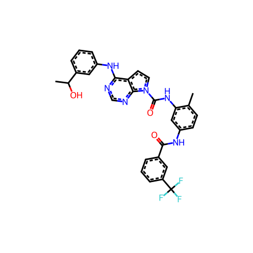 Cc1ccc(NC(=O)c2cccc(C(F)(F)F)c2)cc1NC(=O)n1ccc2c(Nc3cccc(C(C)O)c3)ncnc21